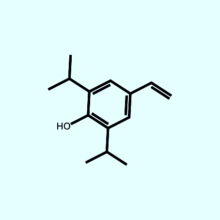 C=Cc1cc(C(C)C)c(O)c(C(C)C)c1